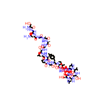 CC(C)C[C@H](NC(=O)[C@H](CO)NC(=O)[C@@H](NC(=O)[C@H](CC(C)C)NC(=O)[C@H](CC(C)C)NC(=O)[C@@H](NC(=O)[C@@H]1CCCN1C(=O)[C@H](Cc1ccccc1)NC(=O)[C@H](C)NC(=O)[C@@H]1CCCN1C(=O)[C@H](CC(C)C)NC(=O)[C@H](CC(C)C)NC(=O)[C@H](CO)NC(=O)CNC(=O)[C@H](C)NC(=O)[C@H](C)NC(=O)CNC(=O)[C@H](CC(N)=O)NC(=O)CNC(=O)[C@@H](N)CO)C(C)C)C(C)C)C(=O)N[C@@H](CO)C(=O)N[C@@H](C)C(=O)N[C@@H](C)C(=O)O